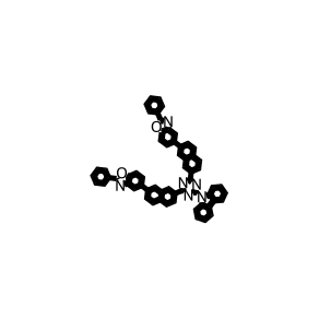 c1ccc(-c2nc3cc(-c4ccc5ccc(-c6nc(-c7ccc8ccc(-c9ccc%10oc(-c%11ccccc%11)nc%10c9)cc8c7)nc(-n7c8ccccc8c8ccccc87)n6)cc5c4)ccc3o2)cc1